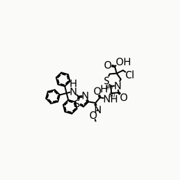 CON=C(C(=O)N[C@@H]1C(=O)N2CC(CCl)(C(=O)O)CS[C@H]12)c1csc(NC(c2ccccc2)(c2ccccc2)c2ccccc2)n1